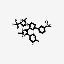 Cc1nc(-c2cc(-c3cccc([S+](C)[O-])c3)ccc2-n2cc(C(F)(F)F)nc2C)c(-c2ccc(C)c(F)c2)o1